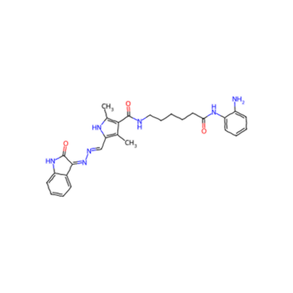 Cc1[nH]c(C=NN=C2C(=O)Nc3ccccc32)c(C)c1C(=O)NCCCCCC(=O)Nc1ccccc1N